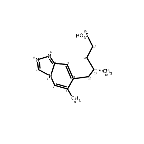 Cc1cn2cnnc2cc1C[C@@H](C)CCS(=O)(=O)O